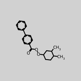 CC1CC[C](OOC(=O)c2ccc(-c3ccccc3)cc2)CC1C